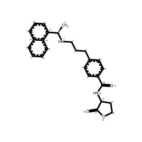 C[C@@H](NCCCc1ccc(C(=O)NC2CCOC2=O)cc1)c1cccc2ccccc12